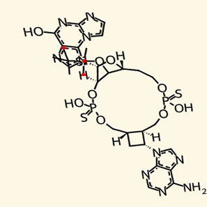 CC(C)(C)[Si](C)(C)OC1[C@H]2OP(O)(=S)OC[C@H]3C[C@@H](n4cnc5c(N)ncnc54)[C@@H]3COP(O)(=S)OCC[C@H]1O[C@H]2n1cnc2c(O)nc3nccn3c21